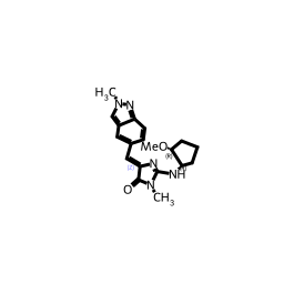 CO[C@@H]1CCC[C@H]1NC1=N/C(=C\c2ccc3nn(C)cc3c2)C(=O)N1C